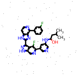 CC(C)CC(O)Nc1cncc(-c2ncc3[nH]nc(-c4nc5c(-c6cccc(F)c6)nccc5[nH]4)c3c2F)c1